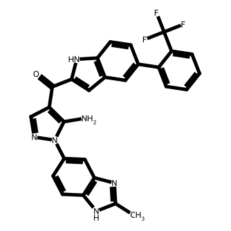 Cc1nc2cc(-n3ncc(C(=O)c4cc5cc(-c6ccccc6C(F)(F)F)ccc5[nH]4)c3N)ccc2[nH]1